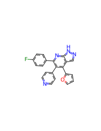 Fc1ccc(-c2nc3[nH]ncc3c(-c3ccco3)c2-c2ccncc2)cc1